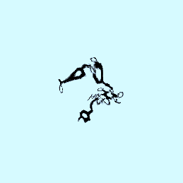 CC(=O)c1ccc(Cn2ccc(C#CCn3c(Cl)c(NC(=O)CCc4ccc(C)cc4)c(=O)n(C)c3=O)cc2=O)cc1